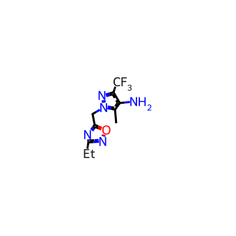 CCc1noc(Cn2nc(C(F)(F)F)c(N)c2C)n1